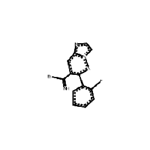 CCC(=N)c1cc2nccn2nc1-c1ccccc1F